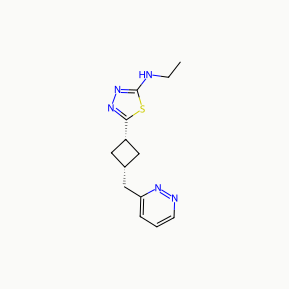 CCNc1nnc([C@H]2C[C@@H](Cc3cccnn3)C2)s1